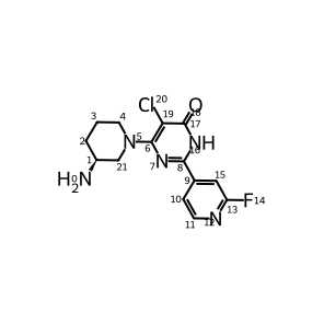 N[C@H]1CCCN(c2nc(-c3ccnc(F)c3)[nH]c(=O)c2Cl)C1